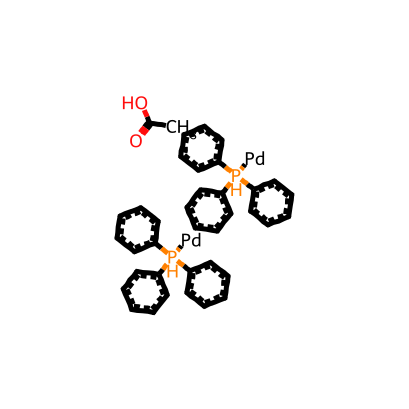 CC(=O)O.[Pd][PH](c1ccccc1)(c1ccccc1)c1ccccc1.[Pd][PH](c1ccccc1)(c1ccccc1)c1ccccc1